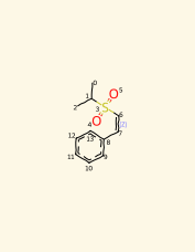 CC(C)S(=O)(=O)/C=C\c1ccccc1